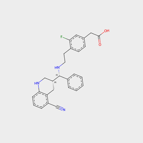 N#Cc1cccc2c1C[C@@H]([C@H](NCCc1ccc(CC(=O)O)cc1F)c1ccccc1)CN2